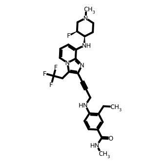 CCc1cc(C(=O)NC)ccc1NCC#Cc1nc2c(N[C@@H]3CCN(C)C[C@@H]3F)cccn2c1CC(F)(F)F